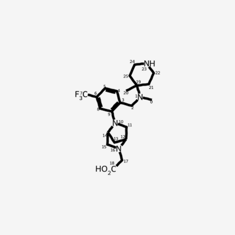 CN(Cc1ccc(C(F)(F)F)cc1N1CC2CC1CN2CC(=O)O)C1(C)CCNCC1